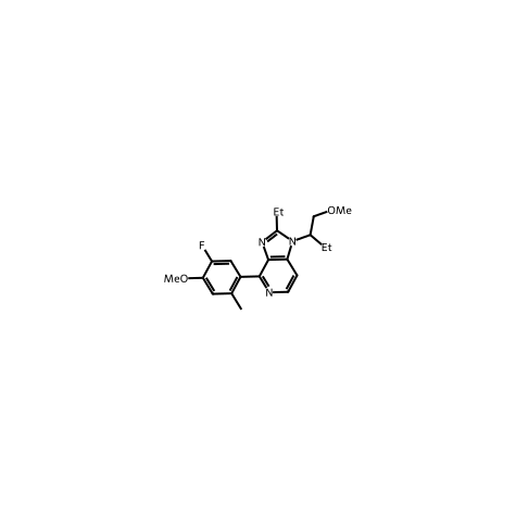 CCc1nc2c(-c3cc(F)c(OC)cc3C)nccc2n1C(CC)COC